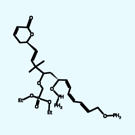 CCOP(=O)(COC(C[C@H](\C=C/C=C\C=C\COP)OPP)C(C)(C)/C=C/[C@H]1CC=CC(=O)O1)OCC